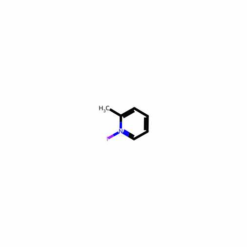 Cc1cccc[n+]1I